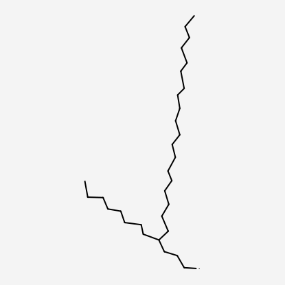 [CH2]CCCC(CCCCCCCC)CCCCCCCCCCCCCCCCCCC